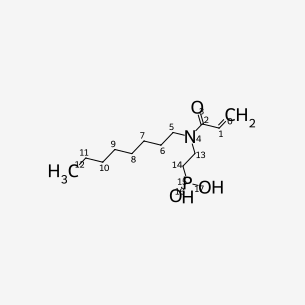 C=CC(=O)N(CCCCCCCC)CC[PH](=O)O